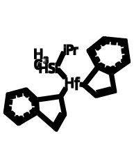 CC(C)[SiH](C)[Hf]([CH]1C=Cc2ccccc21)[CH]1C=Cc2ccccc21